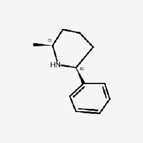 C[C@H]1CCC[C@@H](c2ccccc2)N1